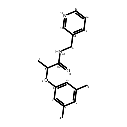 Cc1cc(C)cc(OC(C)C(=O)NCc2cccnc2)c1